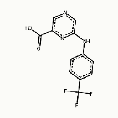 O=C(O)c1cncc(Nc2ccc(C(F)(F)F)cc2)n1